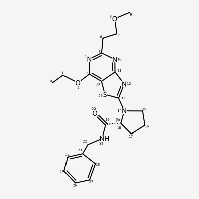 CCOc1nc(CCOC)nc2nc(N3CCC[C@@H]3C(=O)NCc3ccccc3)sc12